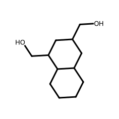 OCC1CC(CO)C2CCCCC2C1